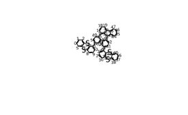 c1ccc2c(c1)Sc1cccc(-c3ccc(-c4cccc5c4C(c4ccc(-c6cccc7c6Sc6ccccc6S7)cc4)c4ccccc4-5)cc3)c1S2